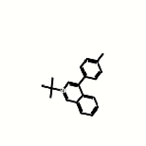 Cc1ccc(-c2c[n+](C(C)(C)C)cc3ccccc23)cc1